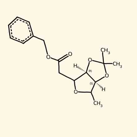 CC1OC(CC(=O)OCc2ccccc2)[C@H]2OC(C)(C)O[C@@H]12